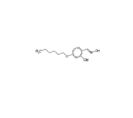 CCCCCCOc1ccc(C=NO)c(O)c1